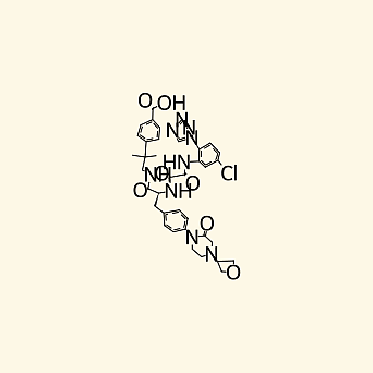 CC(C)(CNC(=O)[C@H](Cc1ccc(N2CCN(C3COC3)CC2=O)cc1)NC(=O)C(=O)Nc1cc(Cl)ccc1-n1cnnn1)c1ccc(C(=O)O)cc1